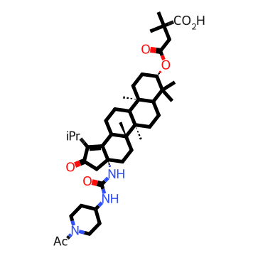 CC(=O)N1CCC(NC(=O)N[C@@]23CC[C@]4(C)C(CCC5[C@@]6(C)CC[C@H](OC(=O)CC(C)(C)C(=O)O)C(C)(C)C6CC[C@]54C)C2=C(C(C)C)C(=O)C3)CC1